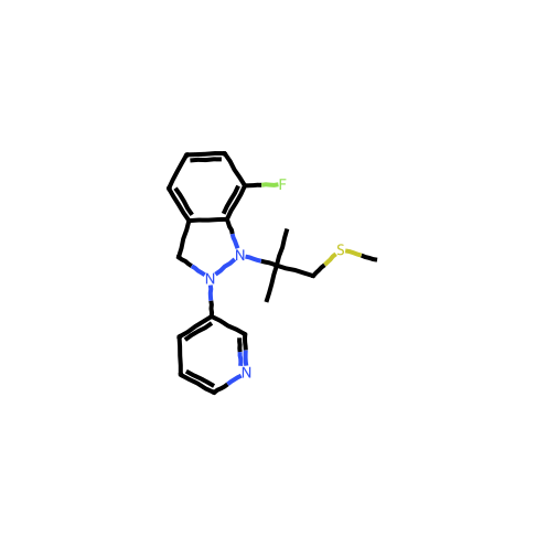 CSCC(C)(C)N1c2c(F)cccc2CN1c1cccnc1